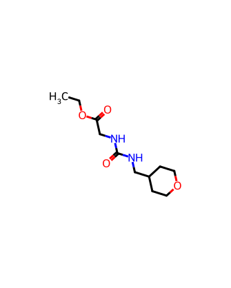 CCOC(=O)CNC(=O)NCC1CCOCC1